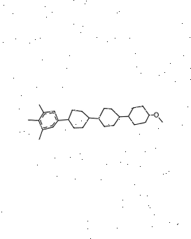 COC1CCC(C2CCC(C3CCC(c4cc(C)c(C)c(C)c4)CC3)CC2)CC1